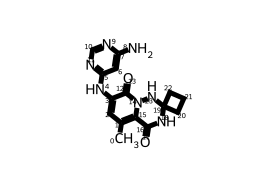 Cc1cc(Nc2cc(N)ncn2)c(=O)n2c1C(=O)NC1(CCC1)N2